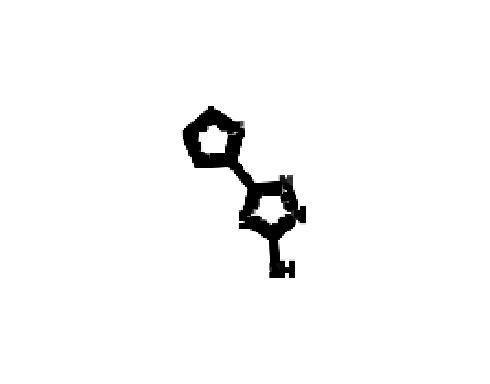 Sc1nnc(-c2cc[c]s2)s1